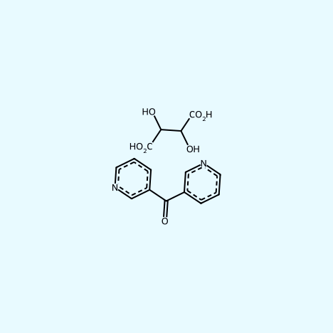 O=C(O)C(O)C(O)C(=O)O.O=C(c1cccnc1)c1cccnc1